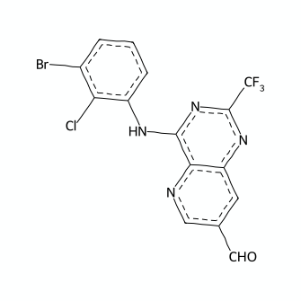 O=Cc1cnc2c(Nc3cccc(Br)c3Cl)nc(C(F)(F)F)nc2c1